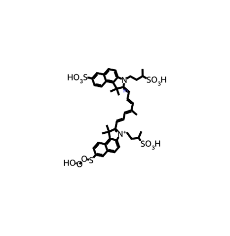 CC(C=C/C=C1/N(CCC(C)S(=O)(=O)O)c2ccc3cc(S(=O)(=O)O)ccc3c2C1(C)C)=CC=CC1=[N+](CCC(C)S(=O)(=O)O)c2ccc3cc(SOOO)ccc3c2C1(C)C